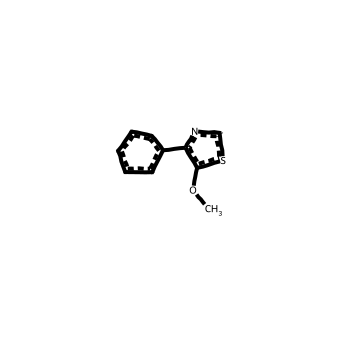 COc1s[c]nc1-c1ccccc1